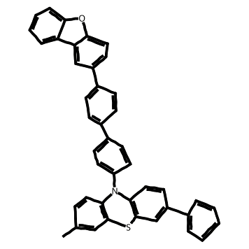 Cc1ccc2c(c1)Sc1cc(-c3ccccc3)ccc1N2c1ccc(-c2ccc(-c3ccc4oc5ccccc5c4c3)cc2)cc1